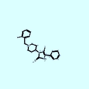 Cc1ccccc1CN1CCC(n2c(C)c(-c3ccccc3)[nH]c2=O)CC1